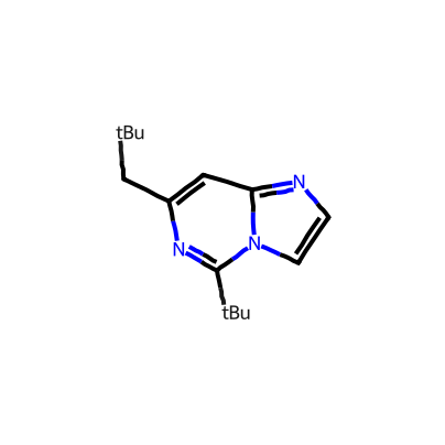 CC(C)(C)Cc1cc2nccn2c(C(C)(C)C)n1